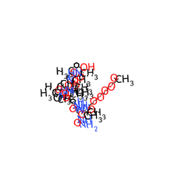 CC[C@H](C)[C@@H]([C@@H](CC(=O)N1CCC[C@H]1[C@H](OC)[C@@H](C)C(=O)N[C@H](C)[C@@H](O)c1ccccc1)OC)N(C)C(=O)[C@@H](NC(=O)[C@H](C(C)C)N(C)C(=O)OCc1ccc(NC(=O)[C@H](CCCNC(N)=O)NC(=O)[C@@H](NC(=O)CCOCCOCCOCCOCCC(C)=O)C(C)C)cc1)C(C)C